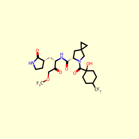 O=C1NCC[C@H]1C[C@H](NC(=O)[C@@H]1CC2(CC2)CN1C(=O)C1(O)CCC(C(F)(F)F)CC1)C(=O)COC(F)(F)F